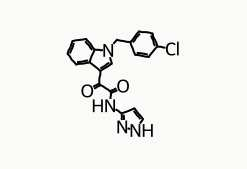 O=C(Nc1cc[nH]n1)C(=O)c1cn(Cc2ccc(Cl)cc2)c2ccccc12